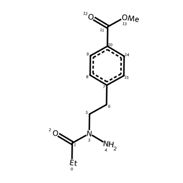 CCC(=O)N(N)CCc1ccc(C(=O)OC)cc1